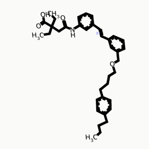 CCCCc1ccc(CCCCOCc2cccc(/C=C/c3cccc(NC(=O)CC(CC)(CC)C(=O)O)c3)c2)cc1